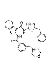 O=C(Nc1sc2c(c1C(=O)NC1NN=C(Cc3ccccc3)O1)CCCC2)c1cccc(CN2CCOCC2)c1